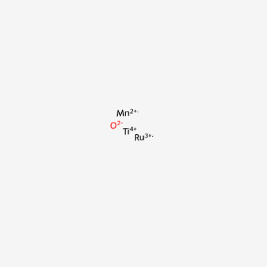 [Mn+2].[O-2].[Ru+3].[Ti+4]